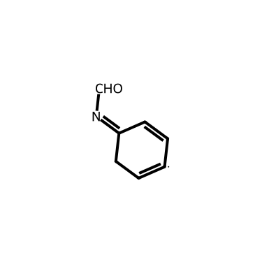 O=CN=C1C=C[C]=CC1